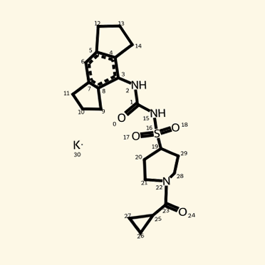 O=C(Nc1c2c(cc3c1CCC3)CCC2)NS(=O)(=O)C1CCN(C(=O)C2CC2)CC1.[K]